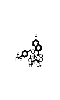 COC(=O)[C@@H](NC(=O)c1ccc2cc(F)ccc2c1OCc1ccc(C(F)(F)F)cc1)[C@@H](C)O